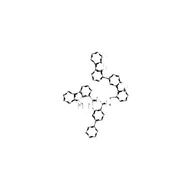 N/C(=N\C(=N/Cc1cccc2oc3ccc(-c4cccc5c4sc4ccccc45)cc3c12)c1ccc(-c2ccccc2)cc1)c1cccc2c1sc1ccccc12